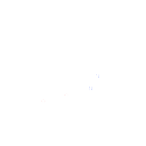 CC(C)c1cc(OC=O)n(C)n1